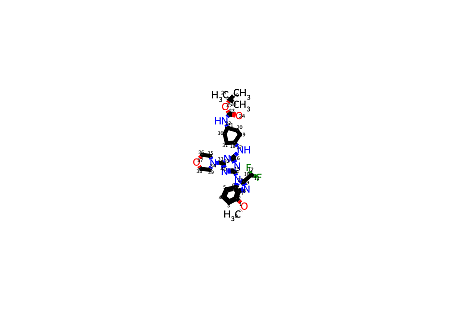 COc1cccc2c1nc(C(F)F)n2-c1nc(NC2CCC(NC(=O)OC(C)(C)C)CC2)nc(N2CCOCC2)n1